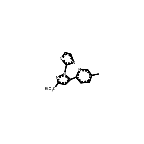 CCOC(=O)c1cc(-c2ccc(C)cn2)n(-c2nccs2)n1